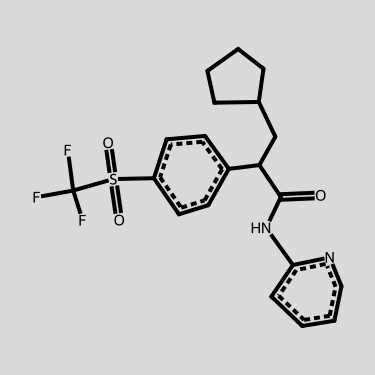 O=C(Nc1ccccn1)C(CC1CCCC1)c1ccc(S(=O)(=O)C(F)(F)F)cc1